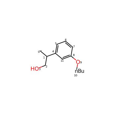 [CH2]C(CO)c1cccc(OCCCC)c1